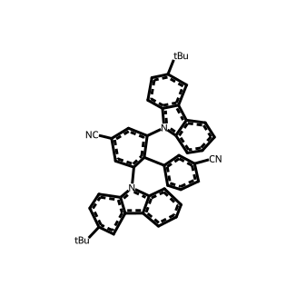 CC(C)(C)c1ccc2c(c1)c1ccccc1n2-c1cc(C#N)cc(-n2c3ccccc3c3cc(C(C)(C)C)ccc32)c1-c1cccc(C#N)c1